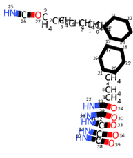 C.C.C.C.C.C.C.C.C.C.C1CCCCC1.C1CCCCC1.N=C=O.N=C=O.N=C=O.N=C=O.N=C=O.N=C=O